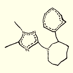 Cc1nc(N2CCCCC2c2ccccc2)nn1C